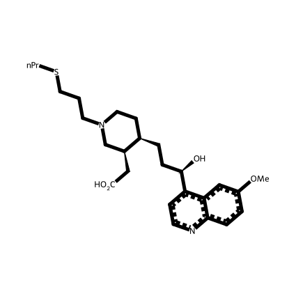 CCCSCCCN1CC[C@@H](CC[C@@H](O)c2ccnc3ccc(OC)cc23)[C@@H](CC(=O)O)C1